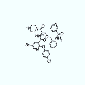 CN1CCN(C(=O)[C@@H](COCc2ccccc2)NC(=O)c2cc(Br)cnc2Oc2ccc(Cl)cc2)CC1.NC(=O)c1cccnc1